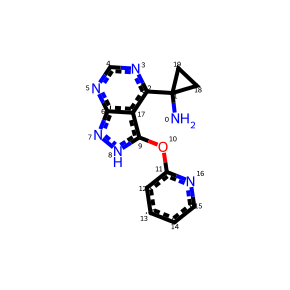 NC1(c2ncnc3n[nH]c(Oc4c[c]ccn4)c23)CC1